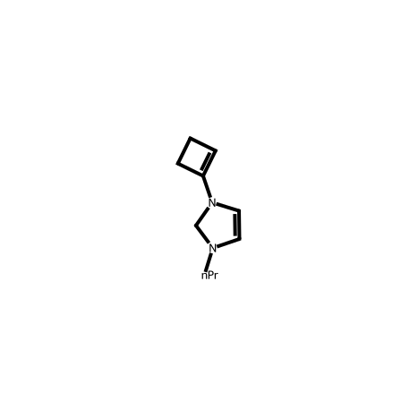 CCCN1C=CN(C2=CCC2)C1